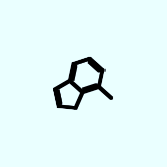 Cc1[c]ccc2c1CC=C2